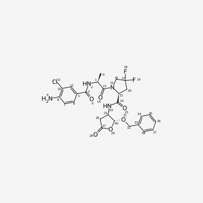 C[C@H](NC(=O)c1ccc(N)c(Cl)c1)C(=O)N1CC(F)(F)C[C@H]1C(=O)NC1CC(=O)O[C@H]1OCc1ccccc1